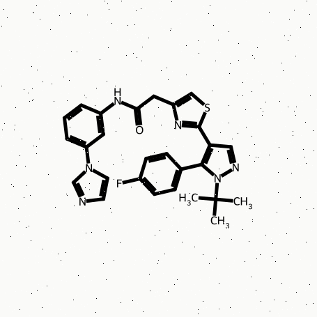 CC(C)(C)n1ncc(-c2nc(CC(=O)Nc3cccc(-n4ccnc4)c3)cs2)c1-c1ccc(F)cc1